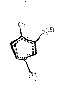 Bc1ccc(B)c(C(=O)OCC)c1